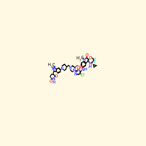 Cn1nc(C2CCC(=O)NC2=O)c2ccc(N3CCC(CN4CCN(c5ncc(Cl)c(Nc6ccc7c(c6)c6c(c(=O)n7C)OCC(F)(F)[C@H](C7CC7)N6)n5)[C@H](CO)C4)CC3)cc21